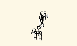 O=C(Nc1cc(-c2ccc(CC(=O)N3CCN(S(=O)(=O)NCC(F)(F)F)CC3)cc2)c2cc[nH]c2n1)C1CC1